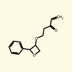 C=CC(=O)CCOC1COC1c1ccccc1